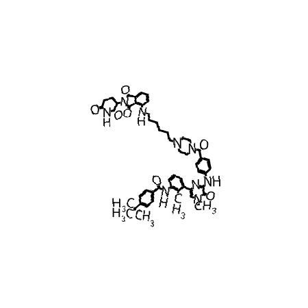 Cc1c(NC(=O)c2ccc(C(C)(C)C)cc2)cccc1-c1cn(C)c(=O)c(Nc2ccc(C(=O)N3CCN(CCCCCCNc4cccc5c4C(=O)N(C4CCC(=O)NC4=O)C5=O)CC3)cc2)n1